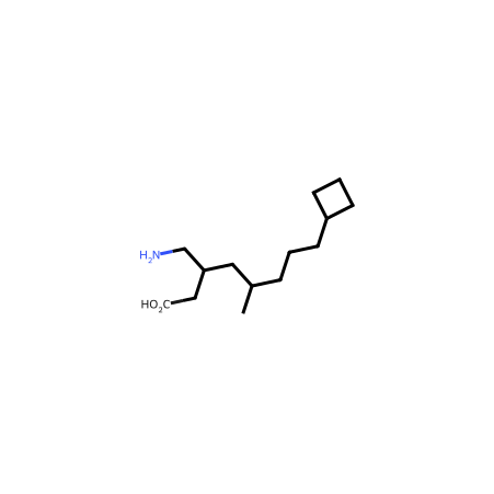 CC(CCCC1CCC1)CC(CN)CC(=O)O